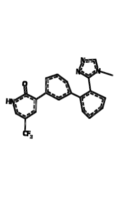 Cn1cnnc1-c1ccccc1-c1cccc(-c2cc(C(F)(F)F)c[nH]c2=O)c1